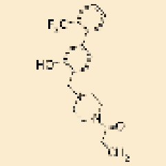 C=CC(=O)N1CCN(Cc2ccc(-c3ccccc3C(F)(F)F)cc2O)CC1